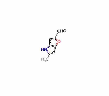 Cc1cc2oc(C=O)cc2[nH]1